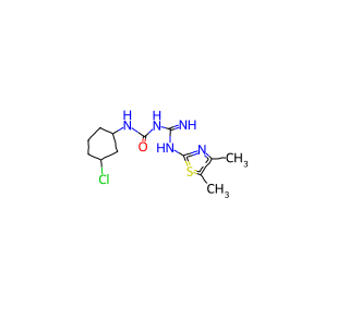 Cc1nc(NC(=N)NC(=O)NC2CCCC(Cl)C2)sc1C